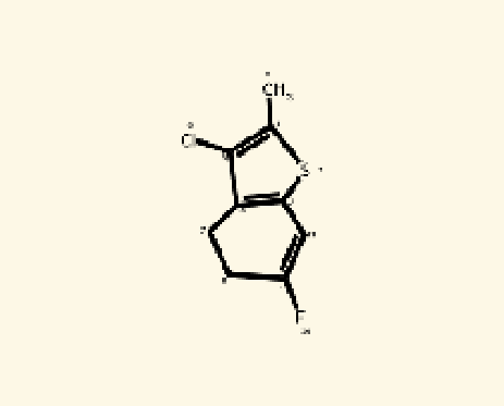 Cc1sc2c(c1Cl)CCC(F)=C2